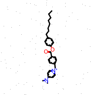 CCCCCCCCc1ccc(OC(=O)c2ccc(C[n+]3ccc(N(C)C)cc3)cc2)cc1